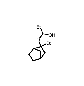 CCC(O)OC1(CC)CC2CCC1C2